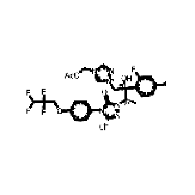 CC(=O)OCn1cn[n+](C[C@](O)(c2ccc(F)cc2F)[C@@H](C)n2ncn(-c3ccc(OCC(F)(F)C(F)F)cc3)c2=O)c1.[Cl-]